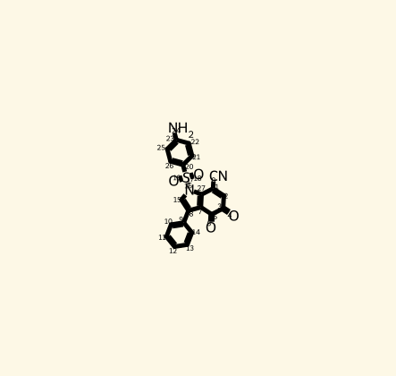 N#CC1=CC(=O)C(=O)c2c(-c3ccccc3)cn(S(=O)(=O)c3ccc(N)cc3)c21